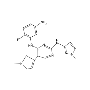 CN1CC=C(c2cnc(Nc3cnn(C)c3)nc2Nc2cc(N)ccc2F)C1